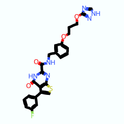 O=C(NCc1cccc(OCCCOc2nc[nH]n2)c1)c1nc2scc(-c3cccc(F)c3)c2c(=O)[nH]1